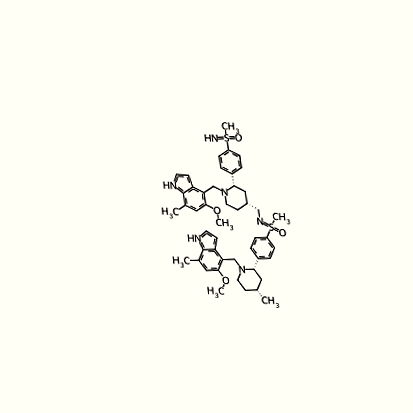 COc1cc(C)c2[nH]ccc2c1CN1CC[C@@H](C)C[C@H]1c1ccc(S(C)(=O)=NC[C@@H]2CCN(Cc3c(OC)cc(C)c4[nH]ccc34)[C@H](c3ccc(S(C)(=N)=O)cc3)C2)cc1